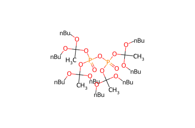 CCCCOC(C)(OCCCC)OP(=O)(OC(C)(OCCCC)OCCCC)OP(=O)(OC(C)(OCCCC)OCCCC)OC(C)(OCCCC)OCCCC